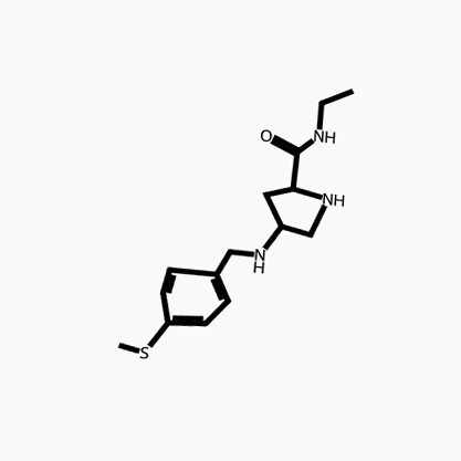 CCNC(=O)C1CC(NCc2ccc(SC)cc2)CN1